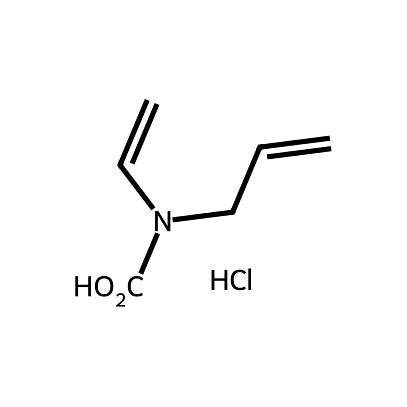 C=CCN(C=C)C(=O)O.Cl